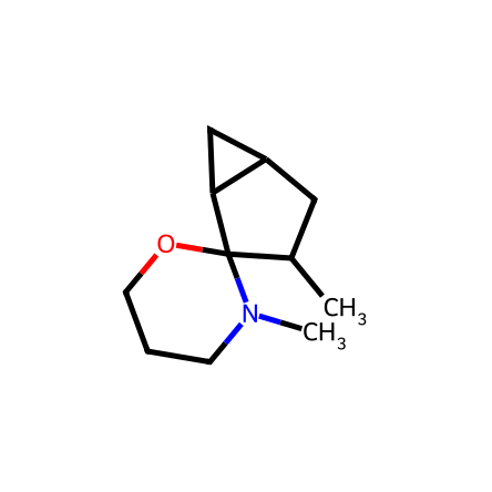 CC1CC2CC2C12OCCCN2C